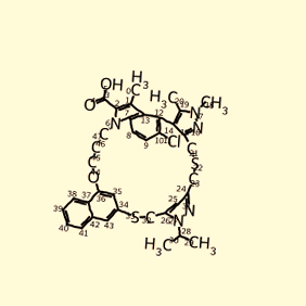 Cc1c(C(=O)O)n2c3ccc(Cl)c(c13)-c1c(nn(C)c1C)CSCc1cc(n(C(C)C)n1)CSc1cc(c3ccccc3c1)OCCC2